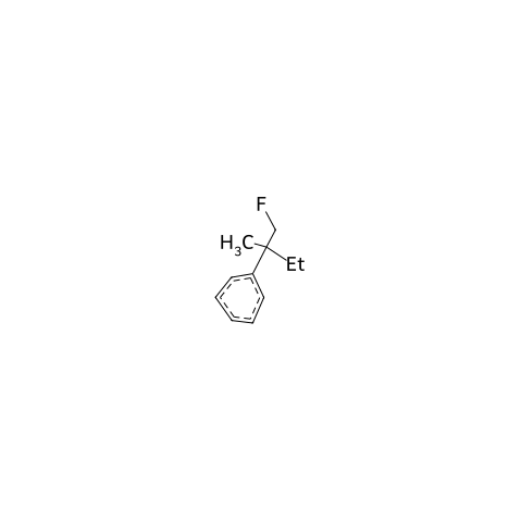 CCC(C)(CF)c1ccccc1